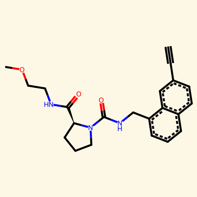 C#Cc1ccc2cccc(CNC(=O)N3CCC[C@H]3C(=O)NCCOC)c2c1